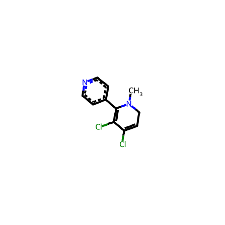 CN1CC=C(Cl)C(Cl)=C1c1ccncc1